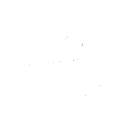 O=C(O)[C@H]1OC(OC2[C@H](O)C(NS(=O)(=O)O)[C@@H](O)O[C@@H]2COS(=O)(=O)O)C(OS(=O)(=O)O)[C@@H](O)C1O